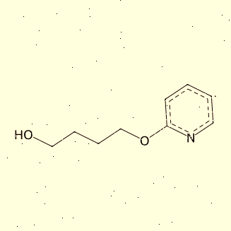 OCCCCOc1cc[c]cn1